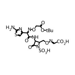 CC(C)(C)OC(=O)CON=C(C(=O)NC1C(=O)N(S(=O)(=O)O)C1CON=CC(=O)O)c1csc(N)n1